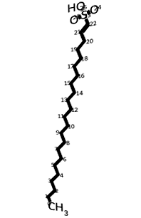 CCCCCCCCCCCCCCCCCCCCCC=CS(=O)(=O)O